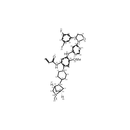 C=CC(=O)Nc1cc(Nc2cc(N3OCC[C@@H]3c3cc(F)cc(F)c3)ncn2)c(OC)cc1N1CCC(N2C[C@@H]3C[C@H]2CN3CC)CC1